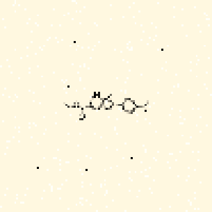 CCOC(=O)c1cnc2sc(-c3ccc(C(C)C)cc3)cc2c1